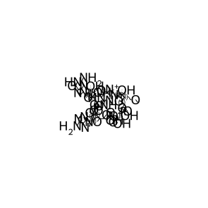 COCC[C@H]1[C@@H](O)[C@H](n2c[n+](C)c3c(=O)[nH]c(N)nc32)O[C@@H]1COP(=O)(O)CCP(=O)(O)OP(=O)(O)OCC1O[C@@H](n2cnc3c(N)ncnc32)[C@H](OC)[C@@H]1OP(=O)([O-])OC[C@H]1O[C@@H](n2cnc3c(=O)[nH]c(N)nc32)[C@H](O)[C@@H]1O